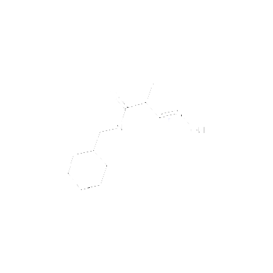 CC(/C=N/O)C(=O)NCC1CCCCC1